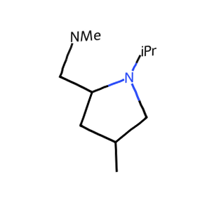 CNCC1CC(C)CN1C(C)C